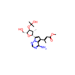 COC(=O)/C=C(\C)c1cc([C@@H]2O[C@H](CO)[C@@H](OC(C)(C)O)[C@@H]2C)n2ncnc(N)c12